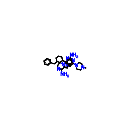 CN1CCN(c2ccc(C3CCCC(Cc4ccccc4)C34CN=C(N)c3cc5cnc(N)nc5n34)nc2)CC1